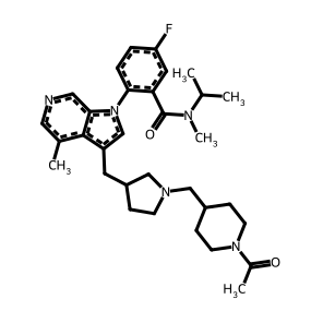 CC(=O)N1CCC(CN2CCC(Cc3cn(-c4ccc(F)cc4C(=O)N(C)C(C)C)c4cncc(C)c34)C2)CC1